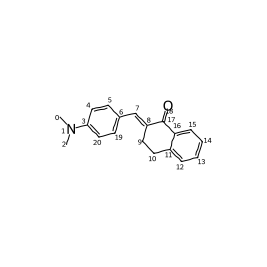 CN(C)c1ccc(/C=C2\CCc3ccccc3C2=O)cc1